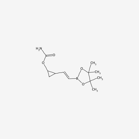 CC1(C)OB(C=CC2CC2OC(N)=O)OC1(C)C